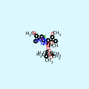 C#C[C@]1(COC(=O)CC(C)(C)c2c(C)cc(C)cc2OC(=O)C(C)(C)C)O[C@@H](n2cnc3c(NC(c4ccccc4)(c4ccccc4)c4ccc(OC)cc4)nc(F)nc32)C[C@@H]1OC(c1ccccc1)(c1ccccc1)c1ccc(OC)cc1